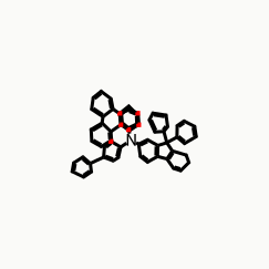 C1=CC2=C(CC1)C(c1ccccc1)(c1ccccc1)c1cc(N(c3ccc(-c4ccccc4)cc3)c3ccccc3-c3ccccc3-c3ccccc3-c3ccccc3)ccc12